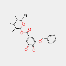 CCC1OC(OC(=O)C2=CC(=O)C(=O)C(OCc3ccccc3)=C2)[C@@H](C)[C@@H](C)C1C